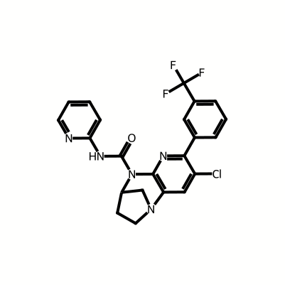 O=C(Nc1ccccn1)N1c2nc(-c3cccc(C(F)(F)F)c3)c(Cl)cc2N2CCC1C2